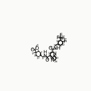 COC(=O)C1(C)CC=C(CNC(=O)c2cc(C(=O)NCc3ccc(F)c(C(F)(F)F)c3)nc3ccnn23)CC1